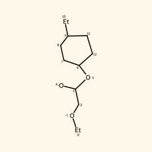 CCOCC([O])OC1CCC(CC)CC1